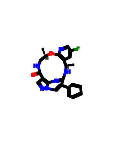 C[C@H]1CNC(=O)c2cnn3cc(-c4ccccc4)c(nc23)N[C@H](C)c2cc(F)cnc2O1